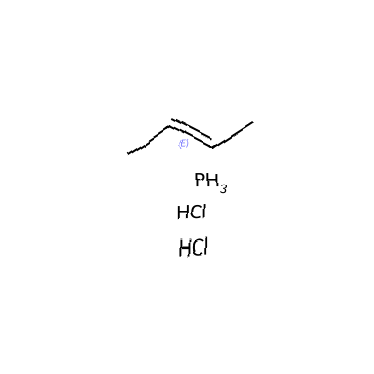 C/C=C/C.Cl.Cl.P